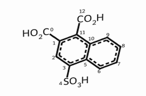 O=C(O)c1cc(S(=O)(=O)O)c2ccccc2c1C(=O)O